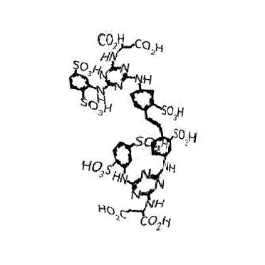 O=C(O)CC(Nc1nc(Nc2ccc(/C=C/c3ccc(Nc4nc(Nc5cc(S(=O)(=O)O)ccc5S(=O)(=O)O)nc(NC(CC(=O)O)C(=O)O)n4)cc3S(=O)(=O)O)c(S(=O)(=O)O)c2)nc(Nc2cc(S(=O)(=O)O)ccc2S(=O)(=O)O)n1)C(=O)O